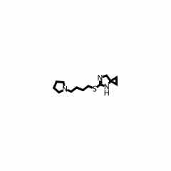 C(CCN1CCCC1)CSC1=NCC2(CC2)N1